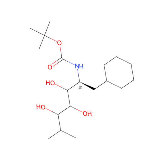 CC(C)C(O)C(O)C(O)[C@H](CC1CCCCC1)NC(=O)OC(C)(C)C